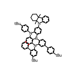 Cc1cc2c3c(c1)N(c1ccc(C(C)(C)C)cc1-c1ccccc1)c1cc(-c4ccc(C(C)(C)C)cc4)ccc1B3c1ccc(N3c4ccccc4C4(C)CCCCC34C)cc1N2c1ccc(C(C)(C)C)cc1